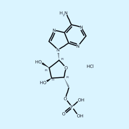 Cl.Nc1ncnc2c1ncn2[C@@H]1O[C@H](COP(=O)(O)O)[C@@H](O)[C@H]1O